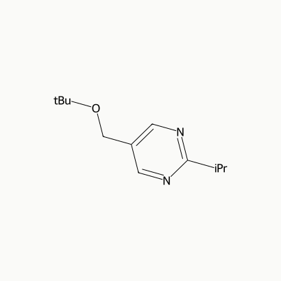 CC(C)c1ncc(COC(C)(C)C)cn1